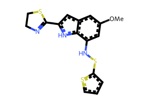 COc1cc(NSc2cccs2)c2[nH]c(C3=NCCS3)cc2c1